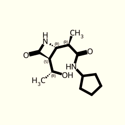 C[C@@H](O)[C@H]1C(=O)N[C@@H]1[C@@H](C)C(=O)NC1CCCC1